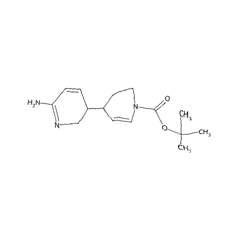 CC(C)(C)OC(=O)N1C=CC(C2C=CC(N)=NC2)CC1